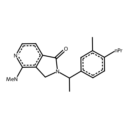 CCCc1ccc(C(C)N2Cc3c(ccnc3NC)C2=O)cc1C